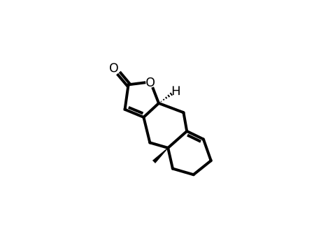 C[C@]12CCCC=C1C[C@@H]1OC(=O)C=C1C2